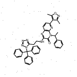 Cc1noc(C)c1-c1ccc2nc(NCCc3nnnn3C(c3ccccc3)(c3ccccc3)c3ccccc3)c(=O)n(C(C)c3ccccc3)c2n1